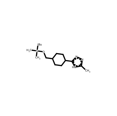 Cc1nnc(C2CCC(CO[Si](C)(C)C(C)(C)C)CC2)[nH]1